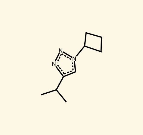 CC(C)c1cn(C2CCC2)nn1